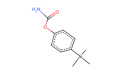 C[Si](C)(C)c1ccc(OC(N)=O)cc1